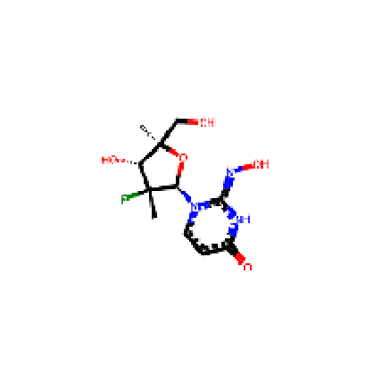 C[C@]1(F)[C@H](n2ccc(=O)[nH]/c2=N\O)O[C@](C)(CO)[C@H]1O